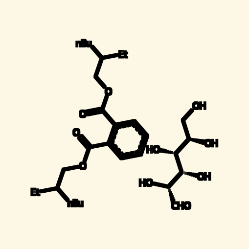 CCCCC(CC)COC(=O)c1ccccc1C(=O)OCC(CC)CCCC.O=C[C@H](O)[C@@H](O)[C@H](O)[C@H](O)CO